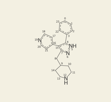 c1ccc(-c2[nH]nc(CC3CCNCC3)c2-c2ccncc2)cc1